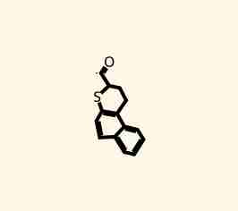 O=[C]C1CCc2c(ccc3ccccc23)S1